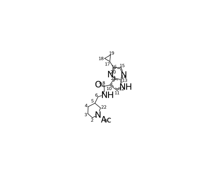 CC(=O)N1CCCC(CNC(=O)c2c[nH]c3ncc(C4CC4)nc23)C1